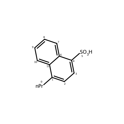 CCCc1ccc(S(=O)(=O)O)c2ccccc12